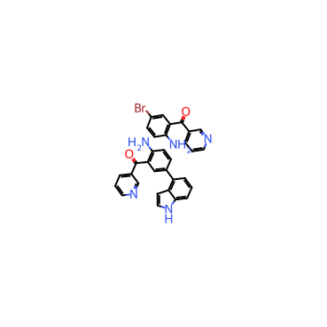 Nc1ccc(-c2cccc3[nH]ccc23)cc1C(=O)c1cccnc1.Nc1ccc(Br)cc1C(=O)c1cccnc1